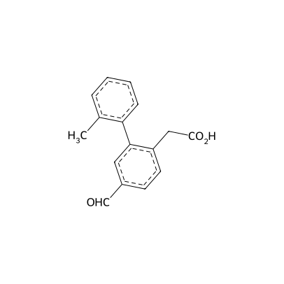 Cc1ccccc1-c1cc(C=O)ccc1CC(=O)O